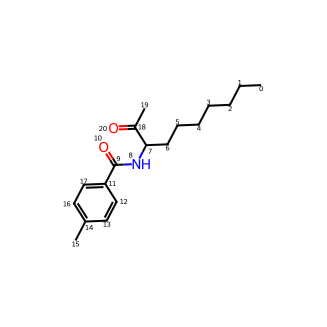 CCCCCCCC(NC(=O)c1ccc(C)cc1)C(C)=O